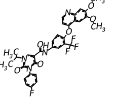 COc1cc2nccc(Oc3ccc(NC(=O)c4cn(C(C)C)c(=O)n(-c5ccc(F)cc5)c4=O)cc3C(F)(F)F)c2cc1OC